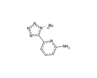 CC[C@@H](C)n1nnnc1-c1cccc(N)n1